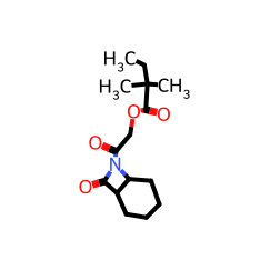 CCC(C)(C)C(=O)OCC(=O)N1C(=O)C2CCCCC21